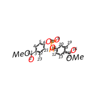 COC(=O)c1ccc(O[PH](=O)Oc2ccc(C(=O)OC)c(C)c2)cc1C